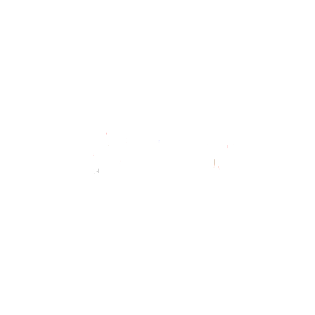 C[Si](C)(C)OS(=O)(=O)OC/C=C/CCO[SH](=O)=O